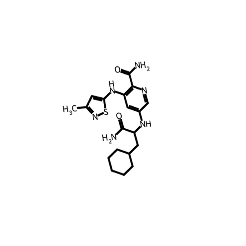 Cc1cc(Nc2cc(NC(CC3CCCCC3)C(N)=O)cnc2C(N)=O)sn1